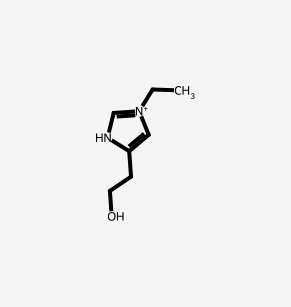 CC[n+]1c[nH]c(CCO)c1